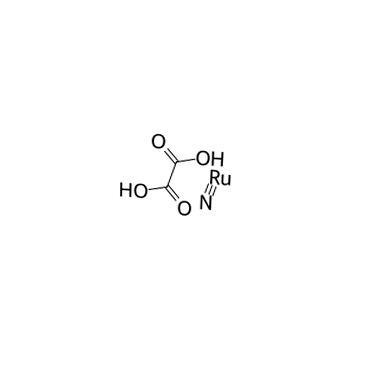 O=C(O)C(=O)O.[N]#[Ru]